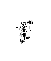 Cc1cc(C(=O)N2CCC(C)(O)CC2)cc(C)c1/C=C/S(=O)(=O)N1CCC2(CC1)N=C(c1cc(OCC(F)(F)C(F)F)cc(C(F)(F)F)c1)NC2=O